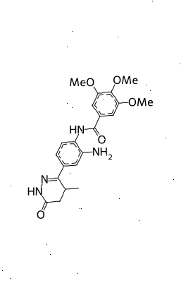 COc1cc(C(=O)Nc2ccc(C3=NNC(=O)CC3C)cc2N)cc(OC)c1OC